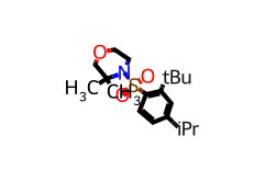 CC(C)c1ccc(S(=O)(=O)N2CCOCC2(C)C)c(C(C)(C)C)c1